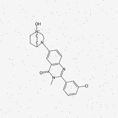 Cn1c(-c2cccc(Cl)c2)nc2ccc(N3CC[N+]4(O)CCC3CC4)cc2c1=O